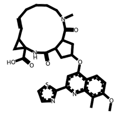 COc1ccc2c(OC3CC4C(=O)NC5(C(=O)O)CC5/C=C/CCCCN(C)C(=O)C4C3)cc(-c3nccs3)nc2c1C